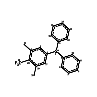 Cc1cc([S+](c2ccccc2)c2ccccc2)cc(C)c1C(F)(F)F